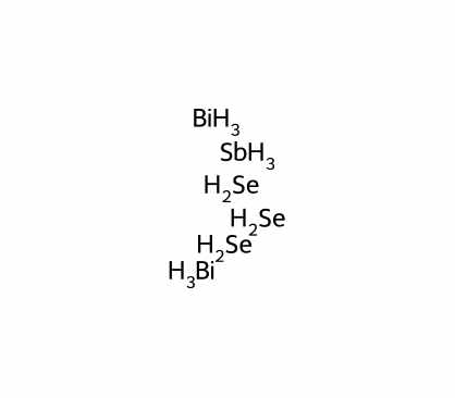 [BiH3].[BiH3].[SbH3].[SeH2].[SeH2].[SeH2]